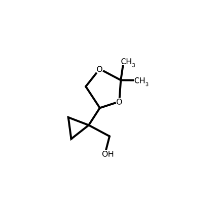 CC1(C)OCC(C2(CO)CC2)O1